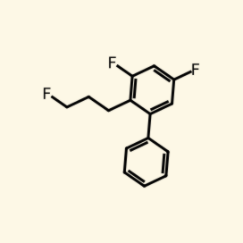 FCCCc1c(F)cc(F)cc1-c1ccccc1